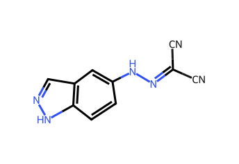 N#CC(C#N)=NNc1ccc2[nH]ncc2c1